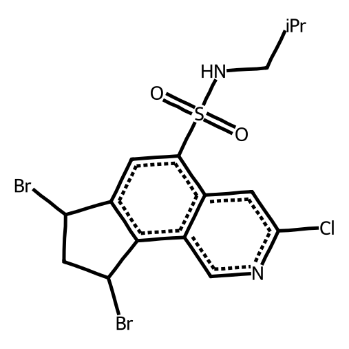 CC(C)CNS(=O)(=O)c1cc2c(c3cnc(Cl)cc13)C(Br)CC2Br